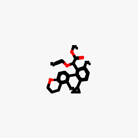 C=COC(C(=O)OC)c1c(C)ccc(C2CC2)c1-c1ccc2c(c1C)CCCO2